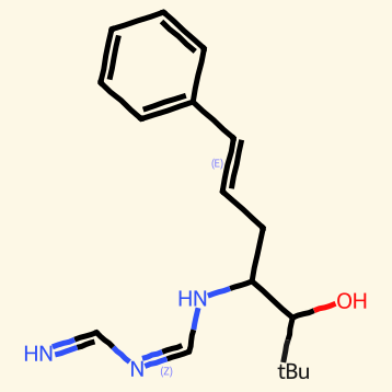 CC(C)(C)C(O)C(C/C=C/c1ccccc1)N/C=N\C=N